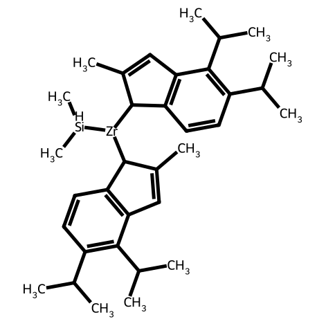 CC1=Cc2c(ccc(C(C)C)c2C(C)C)[CH]1[Zr]([CH]1C(C)=Cc2c1ccc(C(C)C)c2C(C)C)[SiH](C)C